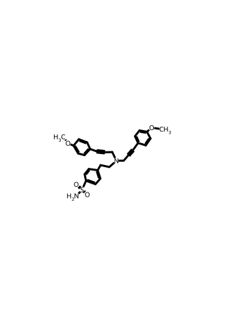 COc1ccc(C#CCN(CC#Cc2ccc(OC)cc2)CCc2ccc(S(N)(=O)=O)cc2)cc1